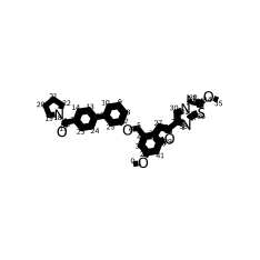 COc1cc(COc2cccc(-c3ccc(C(=O)N4CCCC4)cc3)c2)c2cc(-c3cn4nc(OC)sc4n3)oc2c1